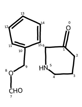 O=C1CCCNC1.O=COCc1ccccc1